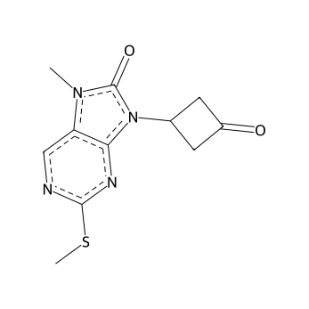 CSc1ncc2c(n1)n(C1CC(=O)C1)c(=O)n2C